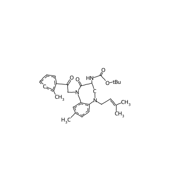 CC(C)=CCN1CC(NC(=O)OC(C)(C)C)C(=O)N(CC(=O)c2ccccc2C)c2cc(C)ccc21